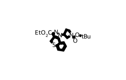 CCOC(=O)c1nn(C2CCN(C(=O)OC(C)(C)C)C2)c2c1CSc1ccccc1-2